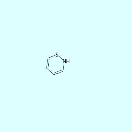 [C]1=CSNC=C1